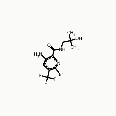 CC(C)(O)CNC(=O)c1nc(Br)c(C(F)(F)F)cc1N